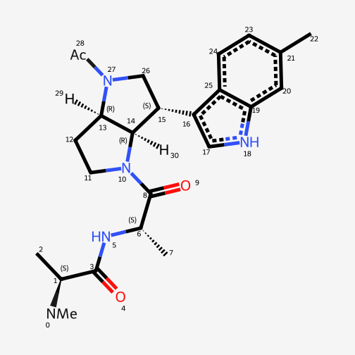 CN[C@@H](C)C(=O)N[C@@H](C)C(=O)N1CC[C@@H]2[C@H]1[C@@H](c1c[nH]c3cc(C)ccc13)CN2C(C)=O